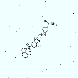 Cl.Cn1c(CNc2ccc(C(=N)N)cc2)nc2cc(S(=O)(=O)N3CCc4ccccc43)ccc21